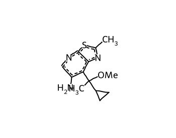 COC(C)(c1c(N)cnc2sc(C)nc12)C1CC1